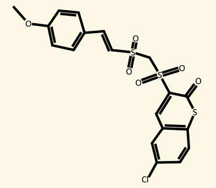 COc1ccc(/C=C/S(=O)(=O)CS(=O)(=O)c2cc3cc(Cl)ccc3sc2=O)cc1